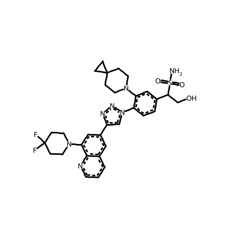 NS(=O)(=O)C(CO)c1ccc(-n2cc(-c3cc(N4CCC(F)(F)CC4)c4ncccc4c3)nn2)c(N2CCC3(CC2)CC3)c1